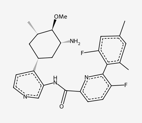 CO[C@H]1[C@H](N)C[C@H](c2ccncc2NC(=O)c2ccc(F)c(-c3c(C)cc(C)cc3F)n2)C[C@@H]1C